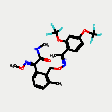 CNC(=O)/C(=N/OC)c1cccc(C)c1CO/N=C(\C)c1ccc(OC(F)(F)F)cc1OC(F)(F)F